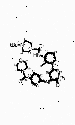 Cc1c(NC(=O)N2CCN(C(C)(C)C)CC2)cccc1-c1cc(Nc2ccc(C(=O)N3CCOCC3)cn2)c(=O)n(C)n1